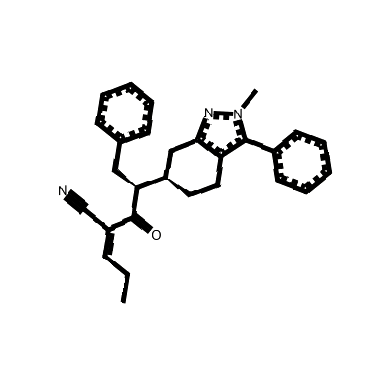 CC/C=C(/C#N)C(=O)[C@@H](Cc1ccccc1)[C@@H]1CCc2c(nn(C)c2-c2ccccc2)C1